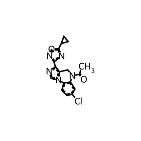 CC(=O)N1Cc2c(-c3noc(C4CC4)n3)ncn2-c2ccc(Cl)cc21